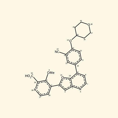 COc1c(-c2cc3nccc(-c4ccc(OC5CCOCC5)c(C#N)c4)c3o2)ccnc1C(=O)O